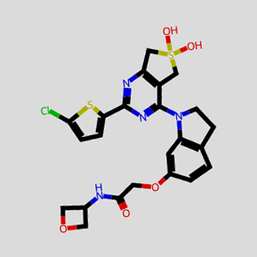 O=C(COc1ccc2c(c1)N(c1nc(-c3ccc(Cl)s3)nc3c1CS(O)(O)C3)CC2)NC1COC1